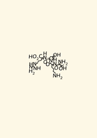 C[C@@H](O)[C@H](N)C(=O)N[C@@H](CCCCN)C(=O)N1C[C@H](O)C[C@H]1C(=O)N[C@@H](CCCNC(=N)N)C(=O)O